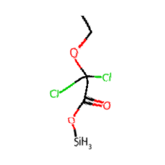 CCOC(Cl)(Cl)C(=O)O[SiH3]